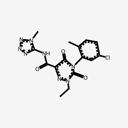 CCn1nc(C(=O)Nc2nnnn2C)c(=O)n(-c2cc(Cl)ccc2C)c1=O